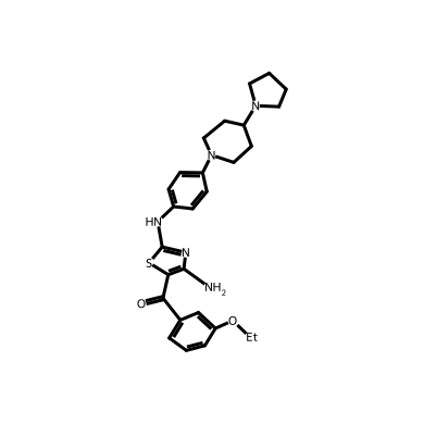 CCOc1cccc(C(=O)c2sc(Nc3ccc(N4CCC(N5CCCC5)CC4)cc3)nc2N)c1